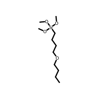 CCCCOCCCC[Si](OC)(OC)OC